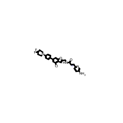 Nc1ccc(/C=C/C(=O)NCc2cc3c(Cl)cc(-c4ccc(N5CCC(F)(F)CC5)cc4)cc3o2)nc1